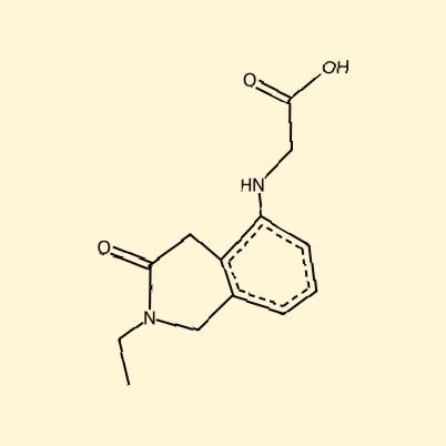 CCN1Cc2cccc(NCC(=O)O)c2CC1=O